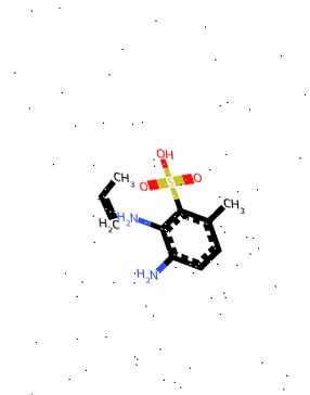 C=CC.Cc1ccc(N)c(N)c1S(=O)(=O)O